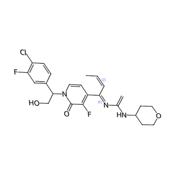 C=C(/N=C(\C=C/C)c1ccn(C(CO)c2ccc(Cl)c(F)c2)c(=O)c1F)NC1CCOCC1